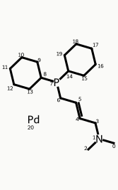 CN(C)CC=CCP(C1CCCCC1)C1CCCCC1.[Pd]